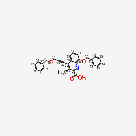 Cc1c(C(=O)O)nc2c(OCc3ccccc3)cccc2c1C#CCOCc1ccccc1